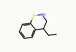 CCC1CNSc2ccccc21